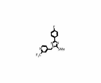 CSc1nc(-c2ccc(F)cc2)nn1Cc1ccnc(C(F)(F)F)c1